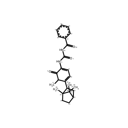 CC1C(=O)C(NC(=O)NC(=O)c2ccccc2)=CC=C1C1CC2CCC1(C)C2(C)C